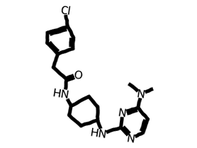 CN(C)c1ccnc(NC2CCC(NC(=O)Cc3ccc(Cl)cc3)CC2)n1